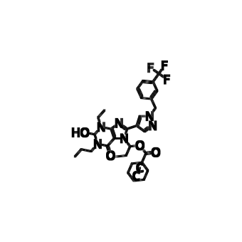 CCCN1C(=O)c2c(nc(-c3cnn(Cc4cccc(C(F)(F)F)c4)c3)n2C(CC)OC(=O)C23CCC(CC2)CC3)N(CC)C1O